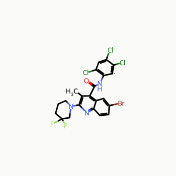 Cc1c(N2CCCC(F)(F)C2)nc2ccc(Br)cc2c1C(=O)Nc1[c]c(Cl)c(Cl)cc1Cl